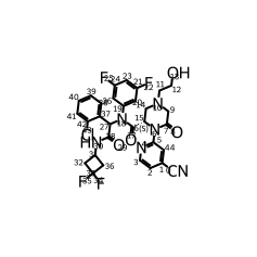 N#Cc1ccnc(N2C(=O)CN(CCO)C[C@H]2C(=O)N(c2cc(F)cc(F)c2)C(C(=O)NC2CC(F)(F)C2)c2ccccc2Cl)c1